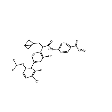 COC(=O)c1ccc(NC(=O)C(CC23CC(C2)C3)c2ccc(-c3c(OC(F)F)ccc(Cl)c3F)c[n+]2[O-])cc1